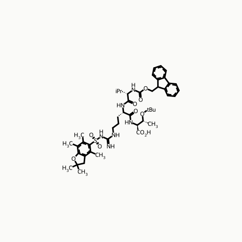 Cc1c(C)c(S(=O)(=O)NC(=N)NCCC[C@H](NC(=O)[C@@H](NC(=O)OCC2c3ccccc3-c3ccccc32)C(C)C)C(=O)N[C@H](C(=O)O)[C@@H](C)OC(C)(C)C)c(C)c2c1OC(C)(C)C2